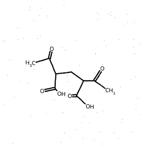 CC(=O)C(CC(C(C)=O)C(=O)O)C(=O)O